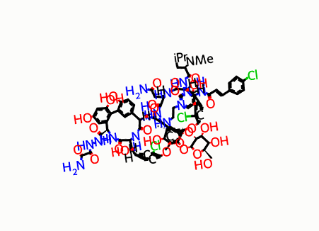 CN[C@H](CC(C)C)C(=O)N[C@H]1C(=O)N[C@@H](CC(N)=O)C(=O)NC2C(=O)N[C@H]3C(=O)N[C@H](C(=O)N[C@@H](C(=O)NNC(=O)C(N)=O)c4cc(O)cc(O)c4-c4cc3ccc4O)[C@H](O)c3ccc(c(Cl)c3)Oc3cc2cc(c3O[C@@H]2O[C@H](CO)[C@@H](O)[C@H](O)[C@H]2O[C@H]2C[C@](C)(NCCn3ccc(NC(=O)/C=C/c4ccc(Cl)cc4)nc3=O)[C@H](O)[C@H](C)O2)Oc2ccc(cc2Cl)[C@H]1O